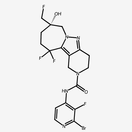 O=C(Nc1ccnc(Br)c1F)N1CCc2nn3c(c2C1)C(F)(F)CC[C@@](O)(CF)C3